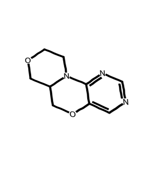 c1ncc2c(n1)N1CCOCC1CO2